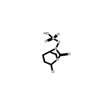 O=C1N2CC(CCC2Cl)N1OS(=O)(=O)O